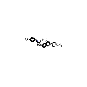 Cc1ccc(/C=C/C(=O)Nc2ccc3nc(N4CCN(C)CC4)cc(C)c3c2)cc1